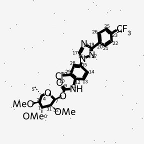 CO[C@@H]1[C@@H](OC)[C@H](C)O[C@@H](OC(=O)Nc2ccc(-n3cnc(-c4ccc(C(F)(F)F)cc4)n3)cc2Cl)[C@@H]1OC